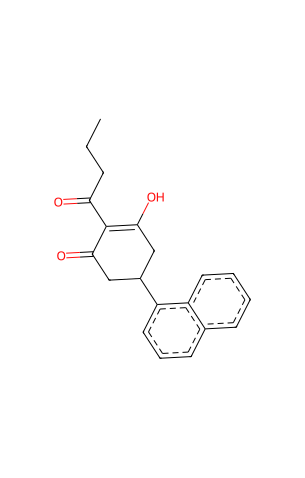 CCCC(=O)C1=C(O)CC(c2cccc3ccccc23)CC1=O